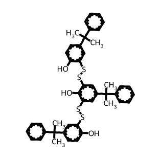 CC(C)(c1ccccc1)c1ccc(O)c(SSc2cc(C(C)(C)c3ccccc3)cc(SSc3cc(C(C)(C)c4ccccc4)ccc3O)c2O)c1